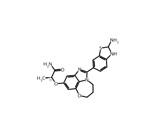 C[C@H](Oc1cc2c3c(c1)nc(-c1ccc4c(c1)SC(N)N4)n3CCCO2)C(N)=O